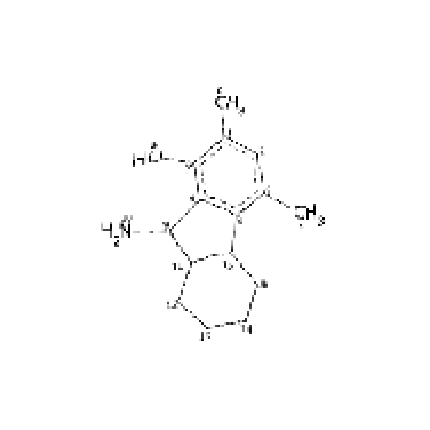 Cc1cc(C)c2c(c1O)C(N)C1CCCCC21